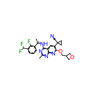 Cc1nc(N[C@H](C)c2cccc(C(F)F)c2F)c2cc(C3(C#N)CC3)c(OCC3COC3)nc2n1